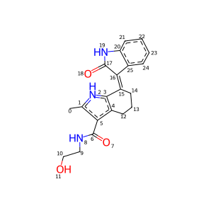 Cc1[nH]c2c(c1C(=O)NCCO)CCC/C2=C1/C(=O)Nc2ccccc21